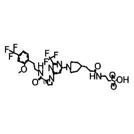 COc1cc(C(F)(F)F)ccc1CCNC(=O)[C@@H]1CCN1c1cc(N2CCC(CCC(=O)NCCS(=O)(=O)O)CC2)nc(C(F)(F)F)n1